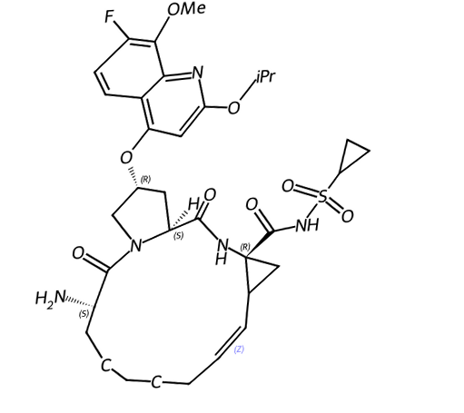 COc1c(F)ccc2c(O[C@@H]3C[C@H]4C(=O)N[C@]5(C(=O)NS(=O)(=O)C6CC6)CC5/C=C\CCCCC[C@H](N)C(=O)N4C3)cc(OC(C)C)nc12